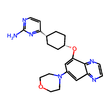 Nc1nccc([C@H]2CC[C@@H](Oc3cc(N4CCOCC4)cc4nccnc34)CC2)n1